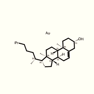 CC(C)CCC[C@@H](C)[C@H]1CC[C@H]2[C@@H]3CC=C4C[C@@H](O)CC[C@]4(C)[C@H]3CC[C@]12C.[Au]